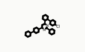 Clc1ccc(-c2ccccc2-c2cc(-c3ccc(-c4ccccc4)cc3)nc(-c3ccccc3)n2)cc1